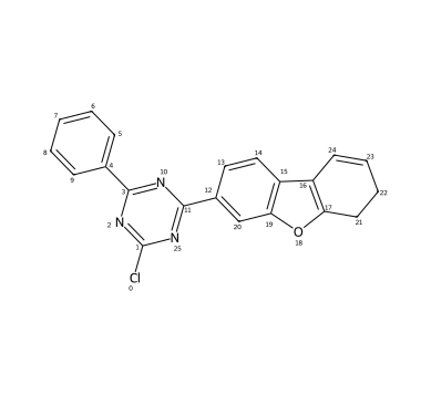 Clc1nc(-c2ccccc2)nc(-c2ccc3c4c(oc3c2)CCC=C4)n1